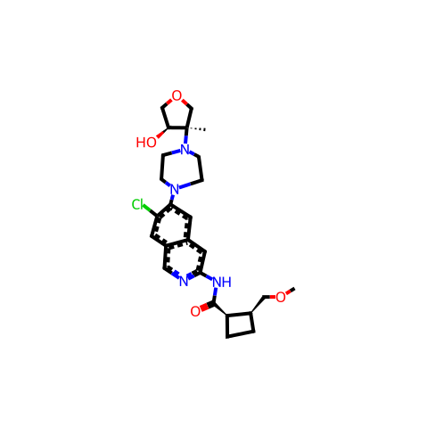 COC[C@H]1CC[C@H]1C(=O)Nc1cc2cc(N3CCN([C@]4(C)COC[C@@H]4O)CC3)c(Cl)cc2cn1